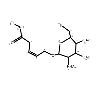 CC(=O)NC1C(OC/C=C\CC(=O)NS)OC(CF)C(OC(C)=O)C1OC(C)=O